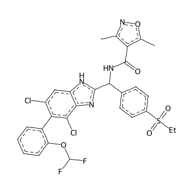 CCS(=O)(=O)c1ccc(C(NC(=O)c2c(C)noc2C)c2nc3c(Cl)c(-c4ccccc4OC(F)F)c(Cl)cc3[nH]2)cc1